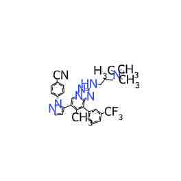 Cc1c(-c2ccnn2-c2ccc(C#N)cc2)cn2nc(NCCC[N+](C)(C)C)nc2c1-c1cccc(C(F)(F)F)c1